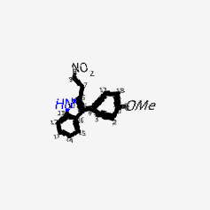 COc1ccc(-c2c(CC[N+](=O)[O-])[nH]c3ccccc23)cc1